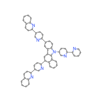 c1ccc(-c2ccc(-n3c4ccc(-c5ccc(-c6ccc7ccccc7n6)cn5)cc4c4cc(-c5ccc(-c6ccc7ccccc7n6)cn5)c5ccccc5c43)cn2)nc1